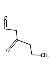 CCCC(=O)CC=O